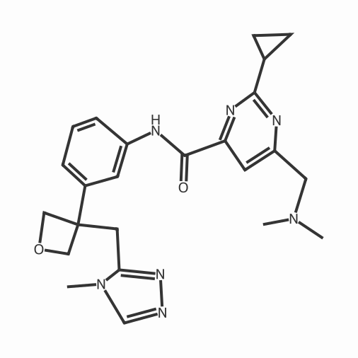 CN(C)Cc1cc(C(=O)Nc2cccc(C3(Cc4nncn4C)COC3)c2)nc(C2CC2)n1